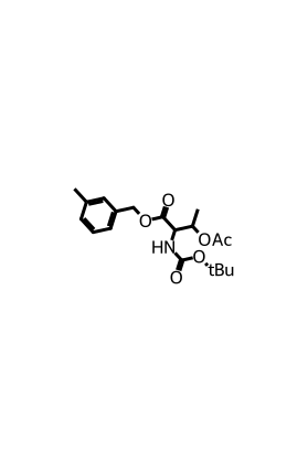 CC(=O)OC(C)C(NC(=O)OC(C)(C)C)C(=O)OCc1cccc(C)c1